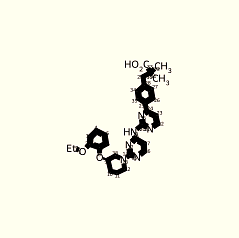 CCOc1ccccc1O[C@@H]1CCCN(c2nccc(Nc3nccc(-c4ccc(CC(C)(C)C(=O)O)cc4)n3)n2)C1